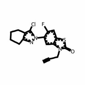 C#CCn1c(=O)sc2cc(F)c(-n3nc4c(c3Cl)CCCC4)cc21